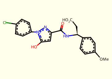 COc1ccc([C@H](CC(=O)O)NC(=O)c2cc(O)n(-c3ccc(Cl)cc3)n2)cc1